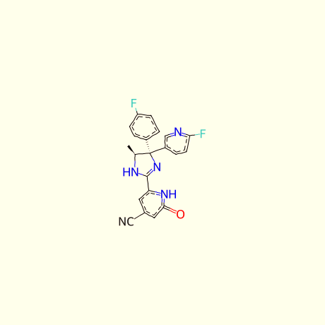 C[C@@H]1NC(c2cc(C#N)cc(=O)[nH]2)=N[C@]1(c1ccc(F)cc1)c1ccc(F)nc1